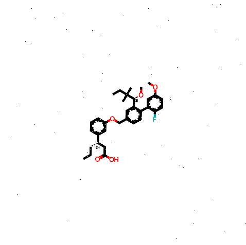 CCC[C@@H](CC(=O)O)c1cccc(OCc2ccc(-c3cc(OC)ccc3F)c([C@@H](OC)C(C)(C)CC)c2)c1